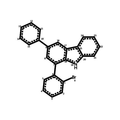 Brc1ccccc1-c1cc(-c2ccccc2)cc2c1[nH]c1ccccc12